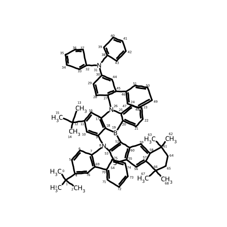 CC(C)(C)c1ccc(N2c3cc(C(C)(C)C)cc4c3B(c3ccccc3N4c3ccc(N(c4ccccc4)c4ccccc4)cc3-c3ccccc3)c3c2sc2cc4c(cc32)C(C)(C)CCC4(C)C)c(-c2ccccc2)c1